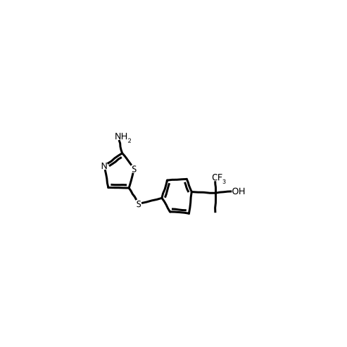 CC(O)(c1ccc(Sc2cnc(N)s2)cc1)C(F)(F)F